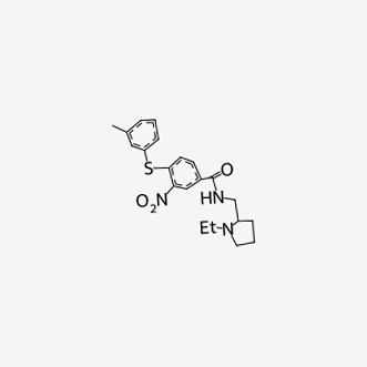 CCN1CCCC1CNC(=O)c1ccc(Sc2cccc(C)c2)c([N+](=O)[O-])c1